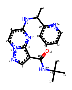 CC(Nc1ccn2ncc(C(=O)NC(C)(C)C)c2n1)c1ccccn1